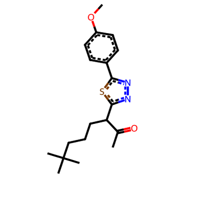 COc1ccc(-c2nnc(C(CCCC(C)(C)C)C(C)=O)s2)cc1